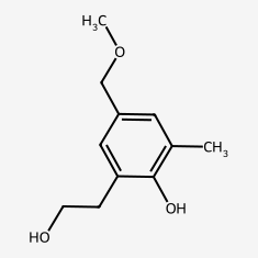 COCc1cc(C)c(O)c(CCO)c1